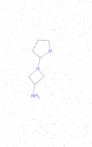 NC1CN(C2CCC[N]2)C1